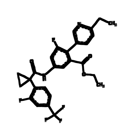 CCOC(=O)c1cc(NC(=O)C2(c3ccc(C(F)(F)F)cc3F)CC2)cc(F)c1-c1ccc(CC)nc1